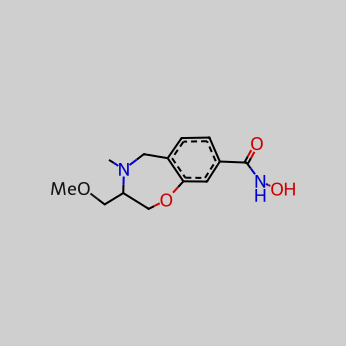 COCC1COc2cc(C(=O)NO)ccc2CN1C